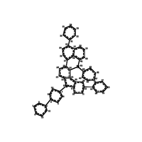 c1ccc(-c2ccc(-n3c4ccc(-c5ccccc5)cc4c4c5c(ccc43)-c3ccc(-c4ccccc4)c4cccc(c34)N5c3ccccc3)cc2)cc1